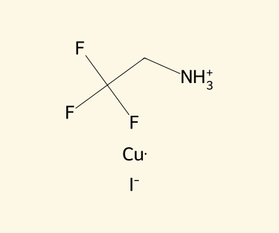 [Cu].[I-].[NH3+]CC(F)(F)F